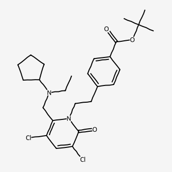 CCN(Cc1c(Cl)cc(Cl)c(=O)n1CCc1ccc(C(=O)OC(C)(C)C)cc1)C1CCCC1